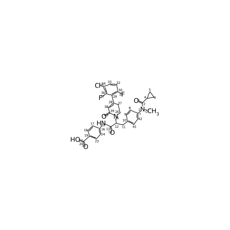 CN(C(=O)C1CC1)c1ccc(CC(C(=O)Nc2ccc(C(=O)O)cc2)N2CCC(c3c(F)ccc(Cl)c3F)=CC2=O)cc1